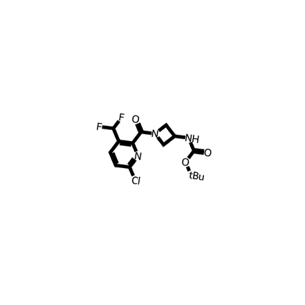 CC(C)(C)OC(=O)NC1CN(C(=O)c2nc(Cl)ccc2C(F)F)C1